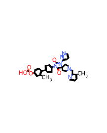 Cc1cc(OC(=O)O)ccc1-c1ccc(N2C(=O)N(c3cccnn3)C3(CCN(Cc4ncccc4C)CC3)C2=O)cc1